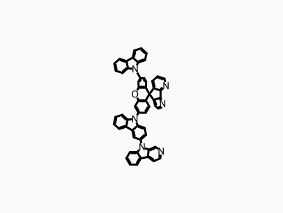 c1cnc2c(c1)C1(c3ccc(-n4c5ccccc5c5ccccc54)cc3Oc3cc(-n4c5ccccc5c5cc(-n6c7ccccc7c7ccncc76)ccc54)ccc31)c1cccnc1-2